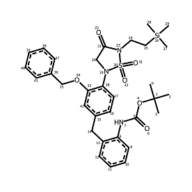 CC(C)(C)OC(=O)Nc1ccccc1Cc1ccc(N2CC(=O)N(CC[Si](C)(C)C)S2(=O)=O)c(OCc2ccccc2)c1